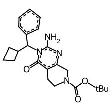 CC(C)(C)OC(=O)N1CCc2c(nc(N)n(C(c3ccccc3)C3CCC3)c2=O)C1